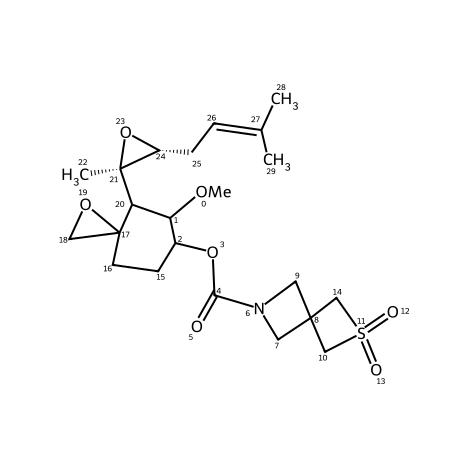 COC1C(OC(=O)N2CC3(C2)CS(=O)(=O)C3)CCC2(CO2)C1[C@@]1(C)O[C@@H]1CC=C(C)C